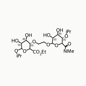 CCOC(=O)C1OC(OC(C)C)[C@@H](O)[C@@H](O)[C@@H]1OCCOC1OC(C(=O)NC)[C@@H](OC(C)C)[C@H](O)[C@@H]1O